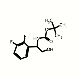 CC(C)(C)OC(=O)NC(CO)c1cccc(F)c1F